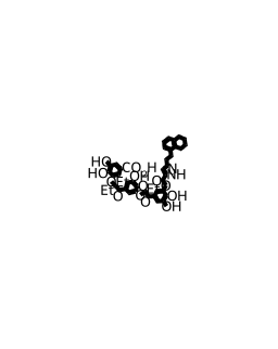 CCC(CC)(Oc1cc(C(=O)O)cc(O)c1O)C(=O)c1cc(O)c2c(c1)OC(CC)(C(=O)c1cc(O)c(O)c(OC(=O)c3cc(CCc4cccc5c4CCCC5)n[nH]3)c1)O2